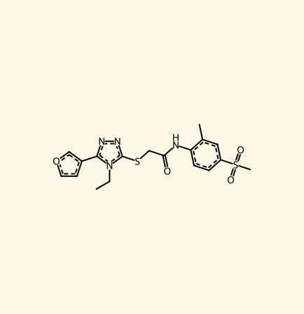 CCn1c(SCC(=O)Nc2ccc(S(C)(=O)=O)cc2C)nnc1-c1ccoc1